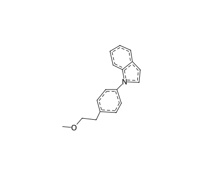 COCCc1ccc(-n2ccc3ccccc32)cc1